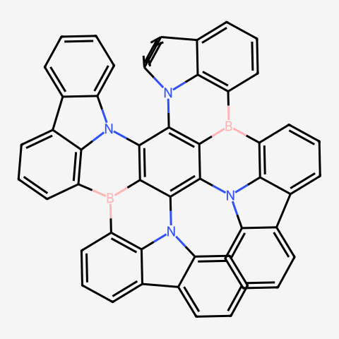 c1ccc2c(c1)c1cccc3c1n2-c1c2c(c4c5c1-n1c6ccccc6c6cccc(c61)B5c1cccc5c6ccccc6n-4c15)-n1c4ccccc4c4cccc(c41)B23